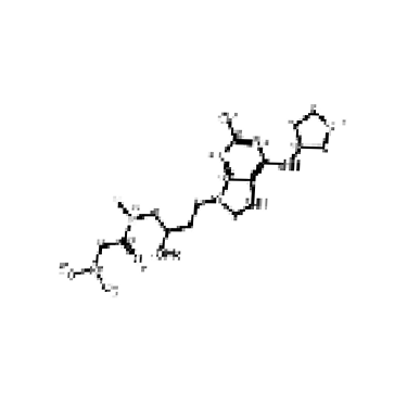 COC(CCN1CNc2c(NC3CCOC3)nc(Cl)nc21)CN(C)C(=O)CP(O)O